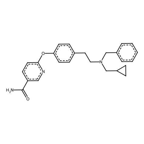 NC(=O)c1ccc(Oc2ccc(CCN(Cc3ccccc3)CC3CC3)cc2)nc1